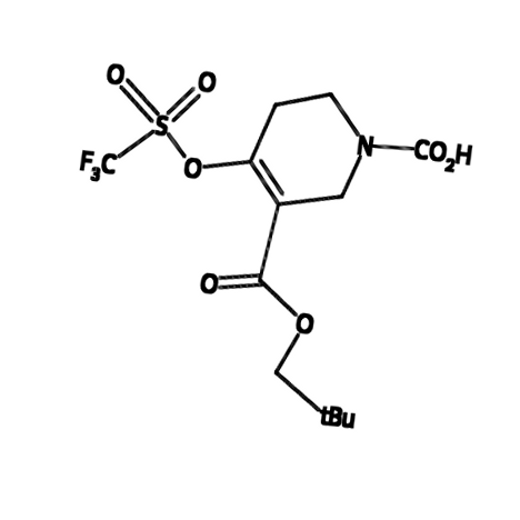 CC(C)(C)COC(=O)C1=C(OS(=O)(=O)C(F)(F)F)CCN(C(=O)O)C1